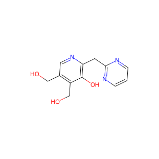 OCc1cnc(Cc2ncccn2)c(O)c1CO